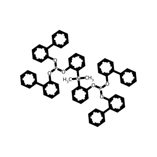 C[Si](C)(c1ccccc1OP(Oc1ccccc1-c1ccccc1)Oc1ccccc1-c1ccccc1)c1ccccc1OP(Oc1ccccc1-c1ccccc1)Oc1ccccc1-c1ccccc1